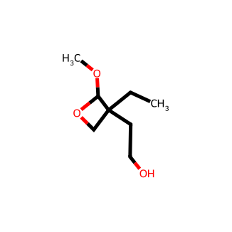 CCC1(CCO)COC1OC